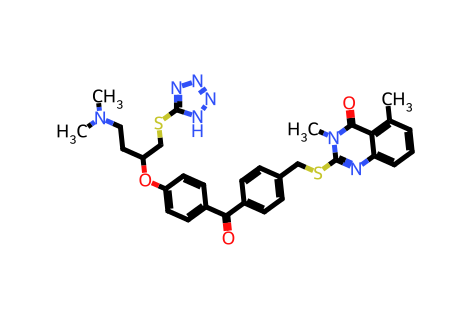 Cc1cccc2nc(SCc3ccc(C(=O)c4ccc(OC(CCN(C)C)CSc5nnn[nH]5)cc4)cc3)n(C)c(=O)c12